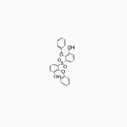 O=S(=O)(c1cccc(O)c1Oc1ccccc1)c1cccc(O)c1Oc1ccccc1